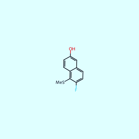 CSc1c(F)ccc2cc(O)ccc12